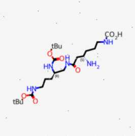 CC(C)(C)OC(=O)NCCC[C@H](CNC(=O)C[C@@H](N)CCCNC(=O)O)NC(=O)OC(C)(C)C